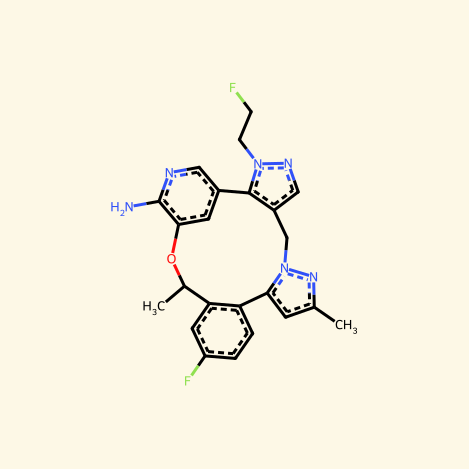 Cc1cc2n(n1)Cc1cnn(CCF)c1-c1cnc(N)c(c1)OC(C)c1cc(F)ccc1-2